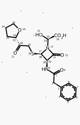 O=C(Cc1ccccc1)N[C@@H]1C(=O)N([C@@H](O)C(=O)O)[C@@H]1SCC(=O)[C@@H]1CCCO1